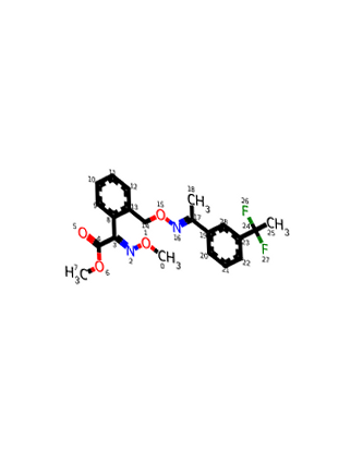 CO/N=C(/C(=O)OC)c1ccccc1CO/N=C(\C)c1cccc(C(C)(F)F)c1